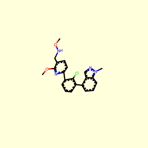 CONCc1ccc(-c2cccc(-c3cccc4c3cnn4C)c2Cl)nc1OC